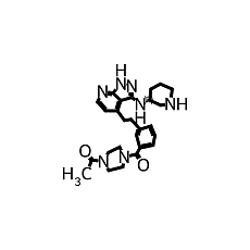 CC(=O)N1CCN(C(=O)c2cccc(CCc3ccnc4[nH]nc(N[C@@H]5CCCNC5)c34)c2)CC1